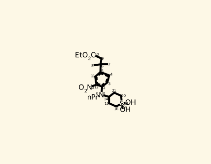 CCCN(c1ccc(C(C)(C)CC(=O)OCC)cc1[N+](=O)[O-])C1CCS(O)(O)CC1